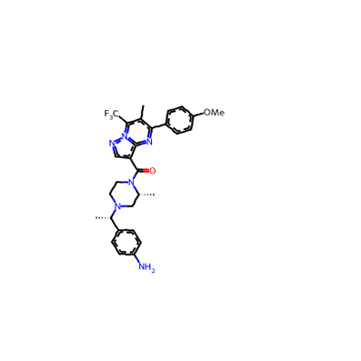 COc1ccc(-c2nc3c(C(=O)N4CCN([C@@H](C)c5ccc(N)cc5)C[C@H]4C)cnn3c(C(F)(F)F)c2C)cc1